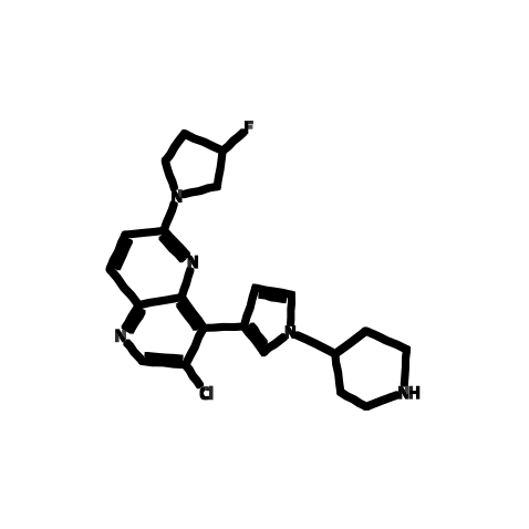 FC1CCN(c2ccc3ncc(Cl)c(-c4ccn(C5CCNCC5)c4)c3n2)C1